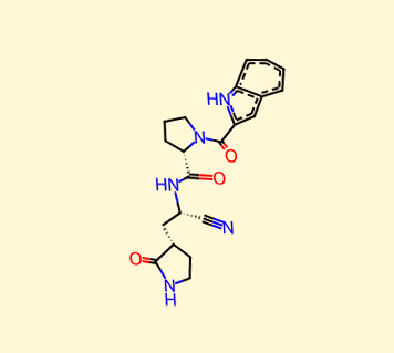 N#C[C@H](C[C@@H]1CCNC1=O)NC(=O)[C@@H]1CCCN1C(=O)c1cc2ccccc2[nH]1